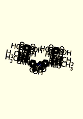 CC(O)N(c1nc(Nc2ccc(/C=C/c3ccc(Nc4nc(Nc5cc(S(=O)(=O)O)ccc5S(=O)(=O)O)nc(N(C(C)O)C(C)O)n4)cc3S(=O)(=O)O)c(S(=O)(=O)O)c2)nc(Nc2cc(S(=O)(=O)O)ccc2S(=O)(=O)O)n1)C(C)O